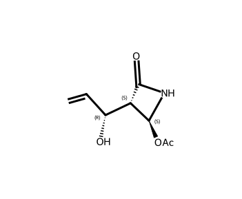 C=C[C@@H](O)[C@@H]1C(=O)N[C@H]1OC(C)=O